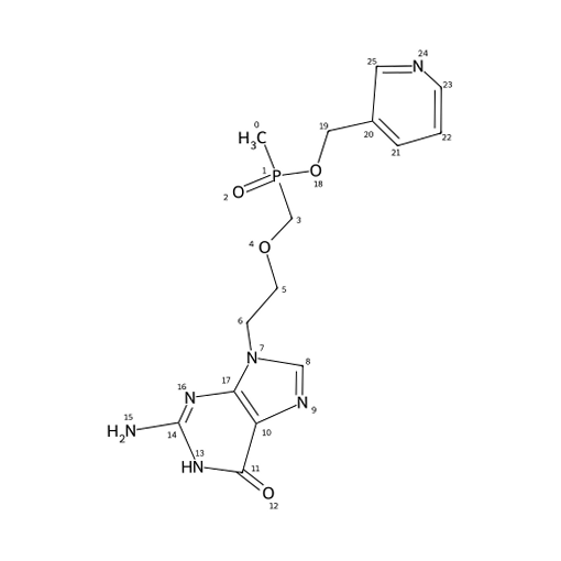 CP(=O)(COCCn1cnc2c(=O)[nH]c(N)nc21)OCc1cccnc1